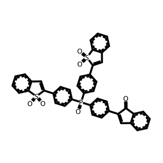 O=C1C(c2ccc(P(=O)(c3ccc(C4=Cc5ccccc5S4(=O)=O)cc3)c3ccc(C4=Cc5ccccc5S4(=O)=O)cc3)cc2)=Cc2ccccc21